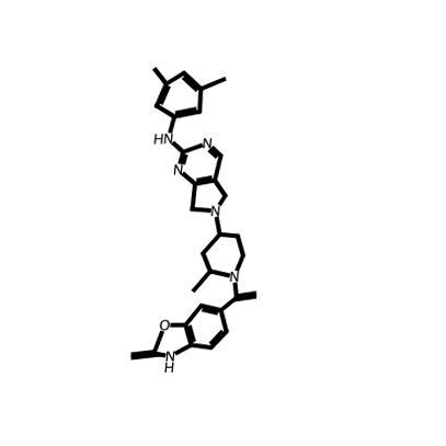 C=C1Nc2ccc(C(=C)N3CCC(N4Cc5cnc(Nc6cc(C)cc(C)c6)nc5C4)CC3C)cc2O1